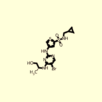 C[C@H](CO)Nc1nc(Nc2csc(S(=O)(=O)NCC3CC3)c2)ncc1Br